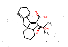 CC(C)CC1CCCCC1(CC(C)C)C(=C(C(=O)O)C(=O)O)C1CCCCC1